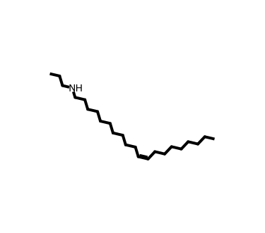 CCCCCCCC/C=C\CCCCCCCCCCNCCC